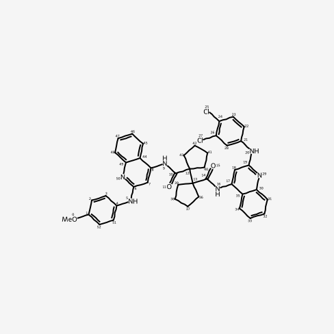 COc1ccc(Nc2cc(NC(=O)C3(C4(C(=O)Nc5cc(Nc6ccc(Cl)c(Cl)c6)nc6ccccc56)CCCC4)CCCC3)c3ccccc3n2)cc1